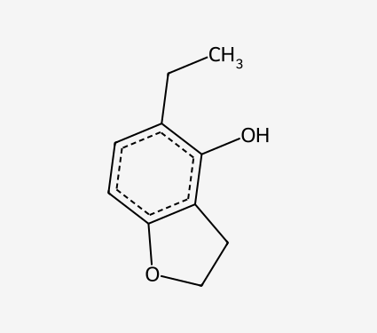 CCc1ccc2c(c1O)CCO2